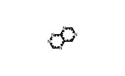 [c]1ncc2ncnnc2n1